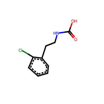 O=C(O)NCCc1ccccc1Cl